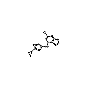 Clc1cc2nccn2c(Nc2cc(C3CC3)[nH]n2)n1